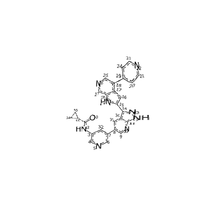 O=C(Nc1cncc(-c2cnc3[nH]nc(-c4cc5c(-c6ccncc6)cncc5[nH]4)c3c2)c1)C1CC1